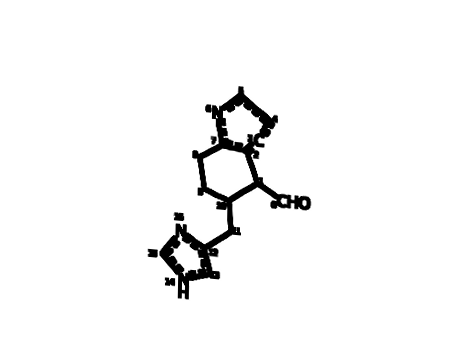 O=CC1c2cccnc2CCC1Cc1c[nH]cn1